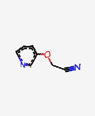 N#CCOc1[c]nccc1